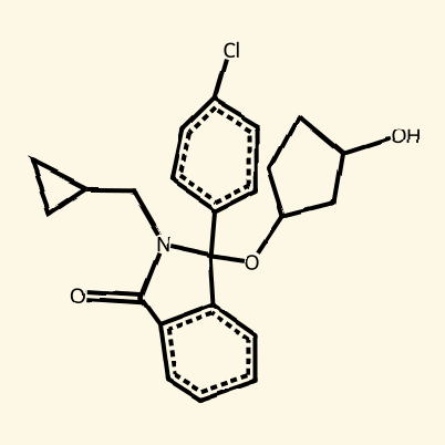 O=C1c2ccccc2C(OC2CCC(O)C2)(c2ccc(Cl)cc2)N1CC1CC1